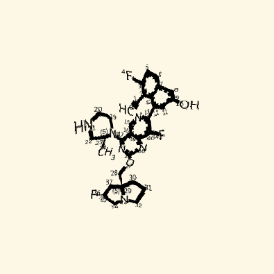 C#Cc1c(F)ccc2cc(O)cc(-c3ncc4c(N5CCNC[C@@H]5C)nc(OC[C@@]56CCCN5C[C@H](F)C6)nc4c3F)c12